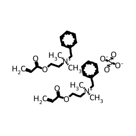 C=CC(=O)OCC[N+](C)(C)Cc1ccccc1.C=CC(=O)OCC[N+](C)(C)Cc1ccccc1.O=S(=O)([O-])[O-]